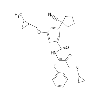 CC1CC1COc1cc(C(=O)N[C@@H](Cc2ccccc2)C(=O)CNC2CC2)cc(C2(C#N)CCCC2)c1